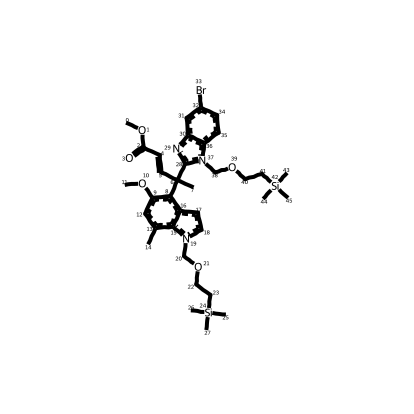 COC(=O)C=CC(C)(c1c(OC)cc(C)c2c1ccn2COCC[Si](C)(C)C)c1nc2cc(Br)ccc2n1COCC[Si](C)(C)C